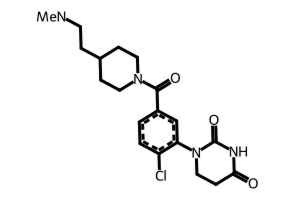 CNCCC1CCN(C(=O)c2ccc(Cl)c(N3CCC(=O)NC3=O)c2)CC1